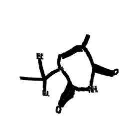 CCC(C)(CC)n1cc(C)c(=O)[nH]c1=O